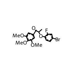 COc1cc(C(=O)C(C)Oc2ccc(Br)cc2F)cc(OC)c1OC